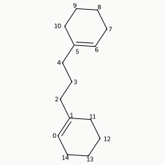 C1=C(CCCC2=CCCCC2)CCCC1